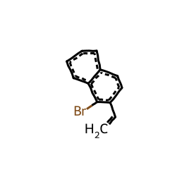 C=Cc1ccc2ccccc2c1Br